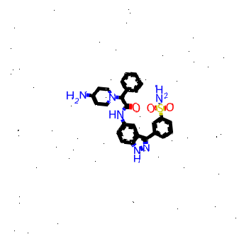 NC1CCN(C(C(=O)Nc2ccc3[nH]nc(-c4cccc(S(N)(=O)=O)c4)c3c2)c2ccccc2)CC1